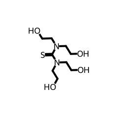 OCCN(CCO)C(=S)N(CCO)CCO